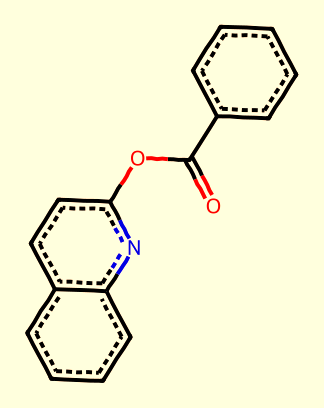 O=C(Oc1ccc2ccccc2n1)c1ccccc1